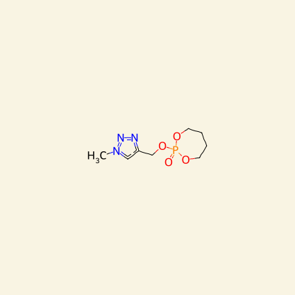 Cn1cc(COP2(=O)OCCCCO2)nn1